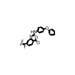 O=c1oc(Nc2ccc(Oc3ccccc3)cc2)nc2cc(C(F)(F)F)ccc12